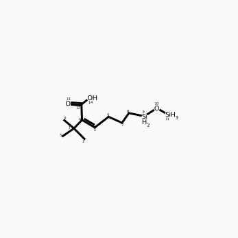 CC(C)(C)C(=CCCC[SiH2]O[SiH3])C(=O)O